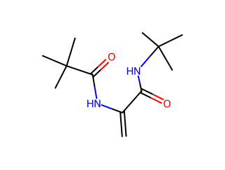 C=C(NC(=O)C(C)(C)C)C(=O)NC(C)(C)C